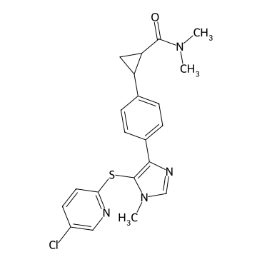 CN(C)C(=O)C1CC1c1ccc(-c2ncn(C)c2Sc2ccc(Cl)cn2)cc1